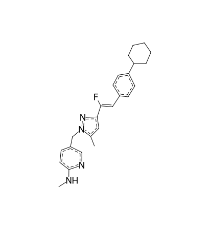 CNc1ccc(Cn2nc(C(F)=Cc3ccc(C4CCCCC4)cc3)cc2C)cn1